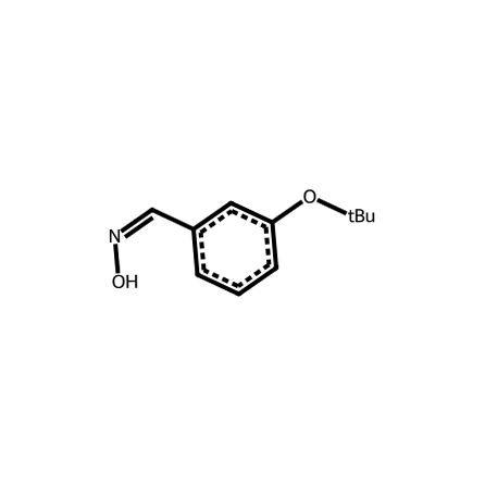 CC(C)(C)Oc1cccc(/C=N\O)c1